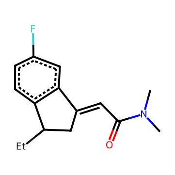 CCC1CC(=CC(=O)N(C)C)c2cc(F)ccc21